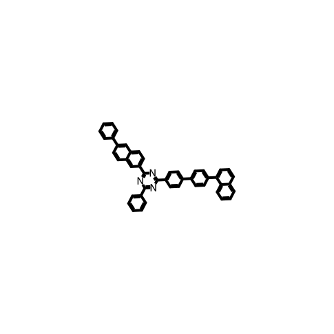 c1ccc(-c2ccc3cc(-c4nc(-c5ccccc5)nc(-c5ccc(-c6ccc(-c7cccc8ccccc78)cc6)cc5)n4)ccc3c2)cc1